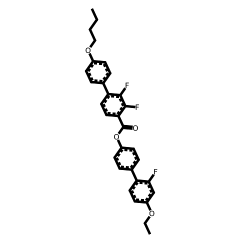 CCCCOc1ccc(-c2ccc(C(=O)Oc3ccc(-c4ccc(OCC)cc4F)cc3)c(F)c2F)cc1